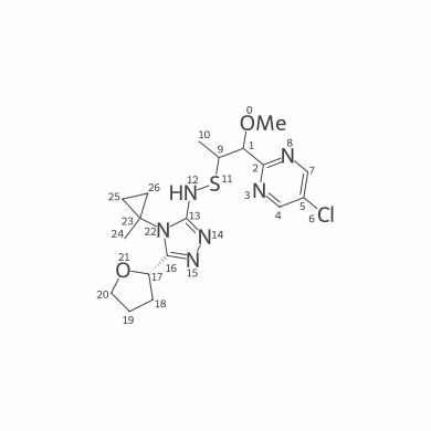 COC(c1ncc(Cl)cn1)C(C)SNc1nnc([C@@H]2CCCO2)n1C1(C)CC1